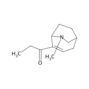 CCC(=O)C1=CCC2CCC1N(C)C2